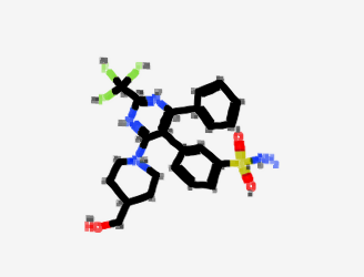 NS(=O)(=O)c1cccc(-c2c(-c3ccccc3)nc(C(F)(F)F)nc2N2CCC(CO)CC2)c1